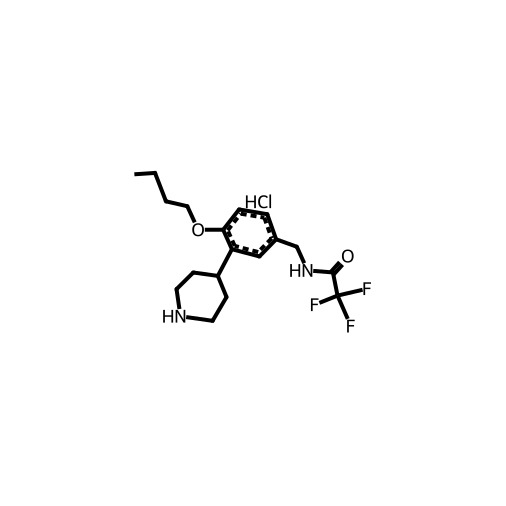 CCCCOc1ccc(CNC(=O)C(F)(F)F)cc1C1CCNCC1.Cl